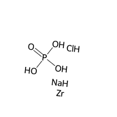 Cl.O=P(O)(O)O.[NaH].[Zr]